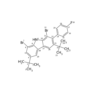 CC(C)(C)c1cc(Br)c2[nH]c3c(Br)c(-c4ccc(F)cc4)c(C(C)(C)C)cc3c2c1